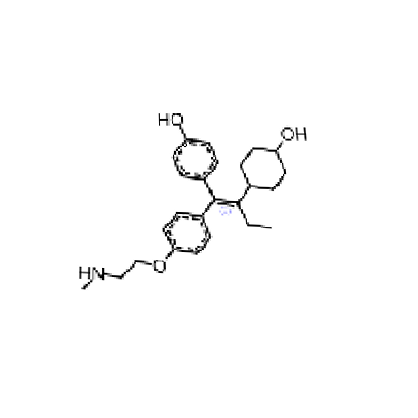 CC/C(=C(/c1ccc(O)cc1)c1ccc(OCCNC)cc1)C1CCC(O)CC1